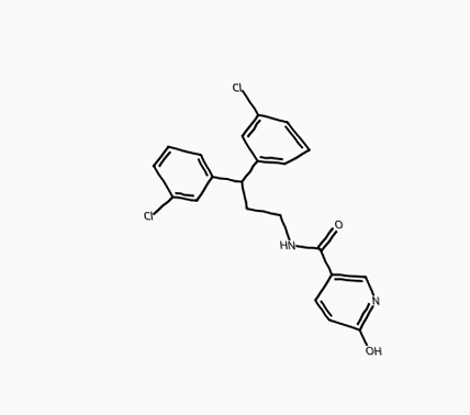 O=C(NCCC(c1cccc(Cl)c1)c1cccc(Cl)c1)c1ccc(O)nc1